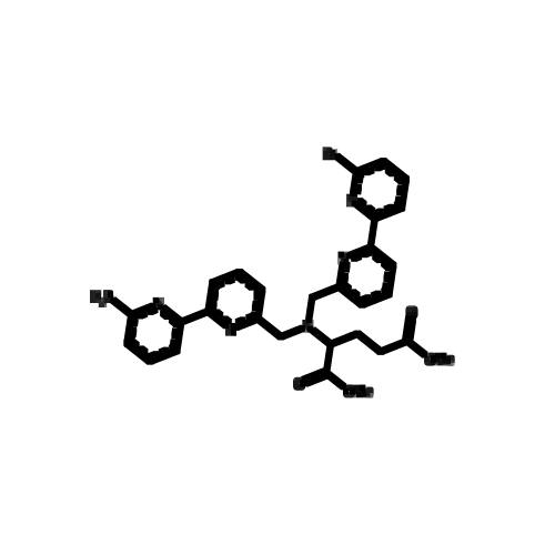 Bc1cccc(-c2cccc(CN(Cc3cccc(-c4cccc(Br)n4)n3)C(CCC(=O)OC)C(=O)OC)n2)n1